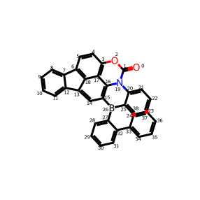 O=c1oc2ccc3c4ccccc4c4cc5c(c2c34)n1-c1ccccc1B5c1ccccc1-c1ccccc1